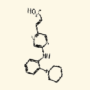 O=C(O)/C=C/c1cnc(Nc2ccccc2N2CCCCC2)cn1